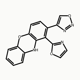 c1ccc2c(c1)Nc1c(ccc(-c3conn3)c1-c1ncco1)O2